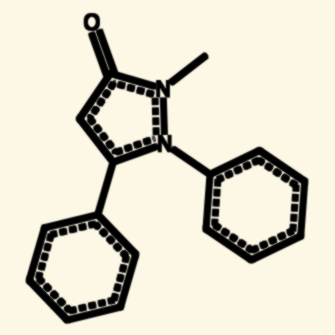 Cn1c(=O)cc(-c2ccccc2)n1-c1ccccc1